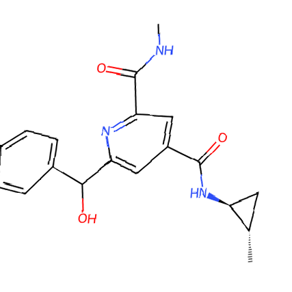 CNC(=O)c1cc(C(=O)N[C@H]2C[C@@H]2C)cc(C(O)c2ccccc2)n1